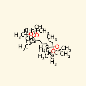 CCCC(OC(C)(C)C)(OC(C)(C)C)[SiH2]CCC[SiH2]C(CCC)(OC(C)(C)C)OC(C)(C)C